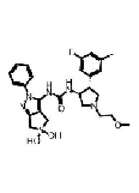 COCCN1C[C@@H](NC(=O)Nc2c3c(nn2-c2ccccc2)CS(O)(O)C3)[C@H](c2cc(F)cc(F)c2)C1